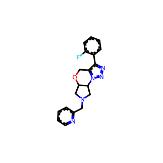 Fc1ccccc1-c1nnn2c1COC1CN(Cc3ccccn3)CC12